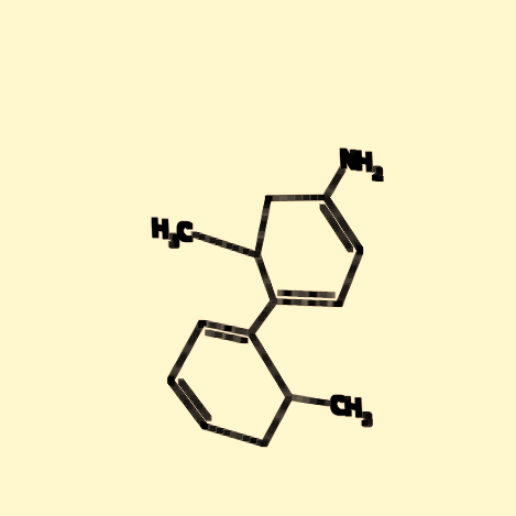 CC1CC=CC=C1C1=CC=C(N)CC1C